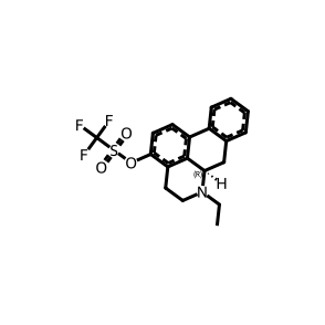 CCN1CCc2c(OS(=O)(=O)C(F)(F)F)ccc3c2[C@H]1Cc1ccccc1-3